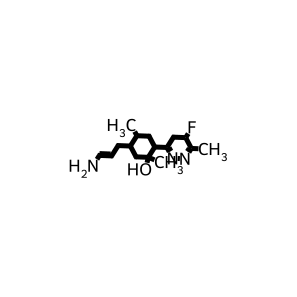 CC1=NN=C(C2CC(C)C(C/C=C/N)CC2(C)O)CC1F